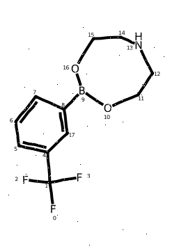 FC(F)(F)c1cccc(B2OCCNCCO2)c1